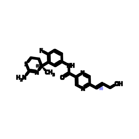 C[C@@]1(c2cc(NC(=O)c3cnc(/C=C/CO)cn3)ccc2F)CCSC(N)=N1